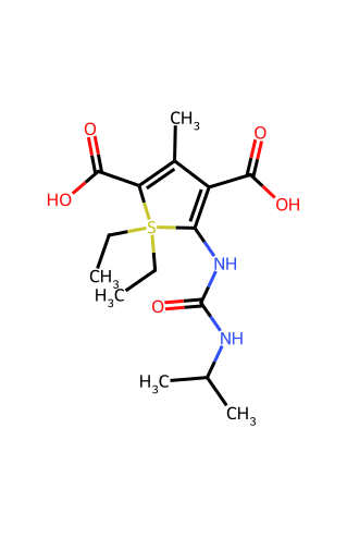 CCS1(CC)C(NC(=O)NC(C)C)=C(C(=O)O)C(C)=C1C(=O)O